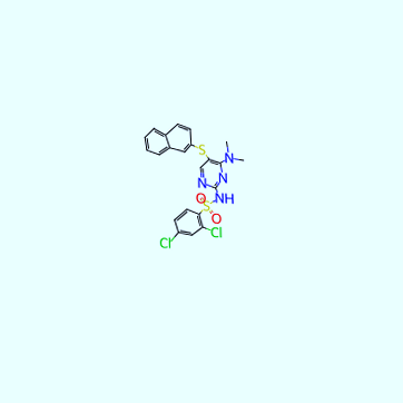 CN(C)c1nc(NS(=O)(=O)c2ccc(Cl)cc2Cl)ncc1Sc1ccc2ccccc2c1